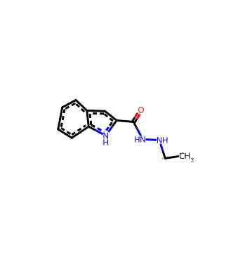 C[CH]NNC(=O)c1cc2ccccc2[nH]1